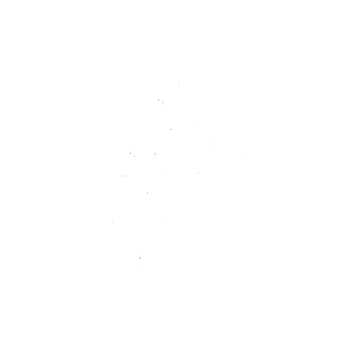 CNc1cc(F)cc2c1[nH]c1ccc(Br)cc12